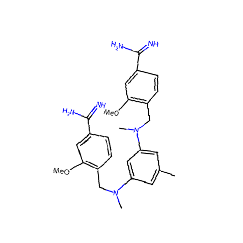 COc1cc(C(=N)N)ccc1CN(C)c1cc(C)cc(N(C)Cc2ccc(C(=N)N)cc2OC)c1